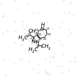 CC(C)c1nn(C(C)C)c2c1CNCCC2